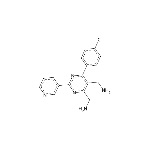 NCc1nc(-c2cccnc2)nc(-c2ccc(Cl)cc2)c1CN